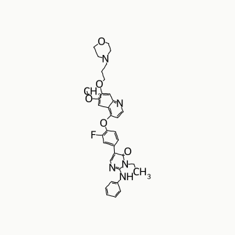 CCn1c(Nc2ccccc2)ncc(-c2ccc(Oc3ccnc4cc(OCCCN5CCOCC5)c(OC)cc34)c(F)c2)c1=O